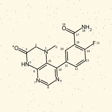 CN1CC(=O)Nc2ncnc(-c3ccc(F)c(C(N)=O)c3)c21